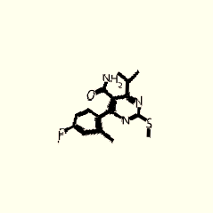 CSc1nc(-c2ccc(F)cc2C)c(C(N)=O)c(C(C)C)n1